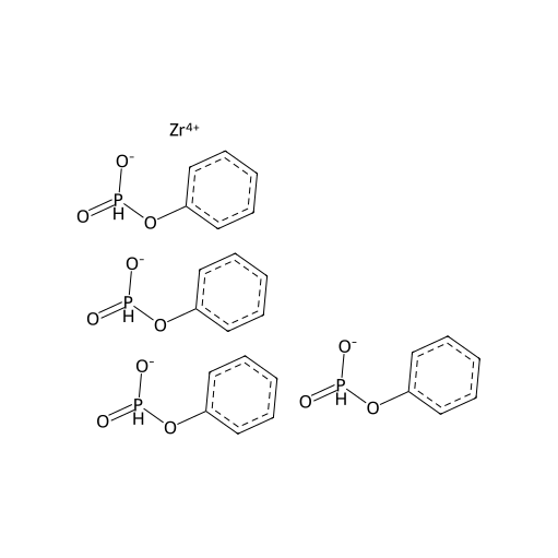 O=[PH]([O-])Oc1ccccc1.O=[PH]([O-])Oc1ccccc1.O=[PH]([O-])Oc1ccccc1.O=[PH]([O-])Oc1ccccc1.[Zr+4]